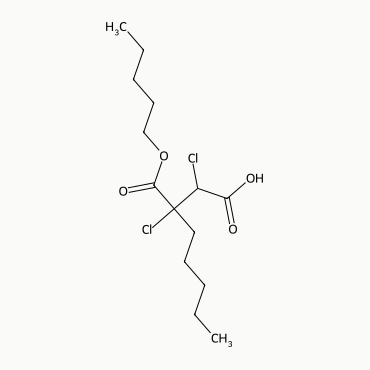 CCCCCOC(=O)C(Cl)(CCCCC)C(Cl)C(=O)O